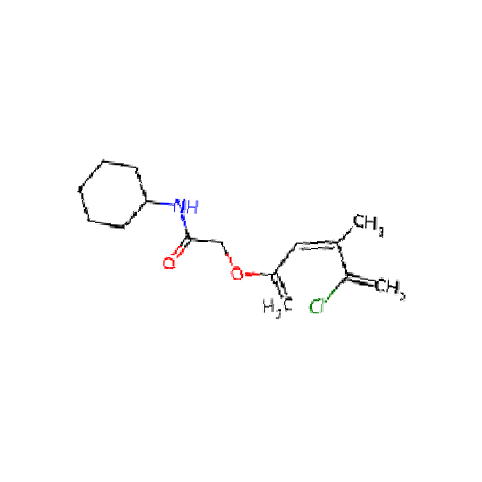 C=C(/C=C(/C)C(=C)Cl)OCC(=O)NC1CCCCC1